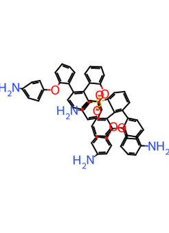 Nc1ccc(Oc2ccccc2-c2cccc(S(=O)(=O)c3cccc(-c4ccccc4Oc4ccc(N)cc4)c3-c3ccccc3Oc3cccc(N)c3)c2-c2ccccc2Oc2cccc(N)c2)cc1